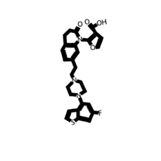 O=C(O)c1ccoc1N1C(=O)CCc2ccc(CCN3CCN(c4cc(F)cc5sccc45)CC3)cc21